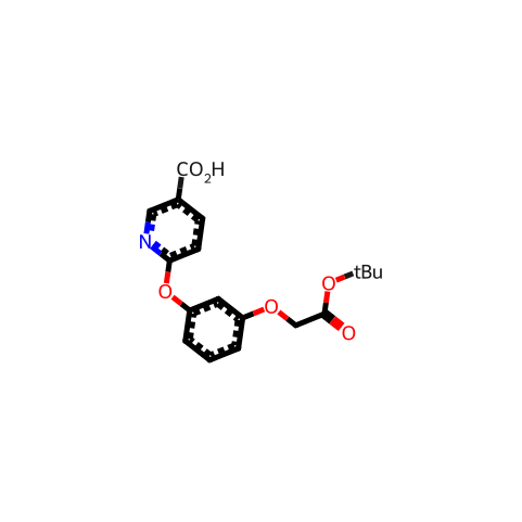 CC(C)(C)OC(=O)COc1cccc(Oc2ccc(C(=O)O)cn2)c1